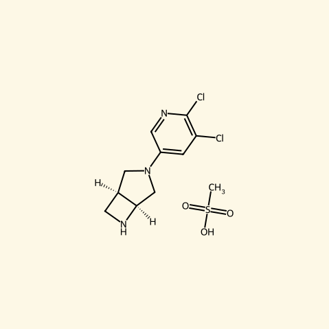 CS(=O)(=O)O.Clc1cc(N2C[C@@H]3CN[C@@H]3C2)cnc1Cl